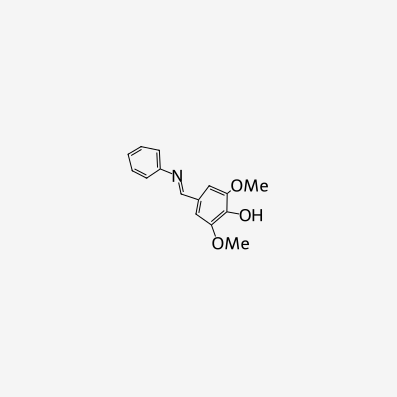 COc1cc(C=Nc2ccccc2)cc(OC)c1O